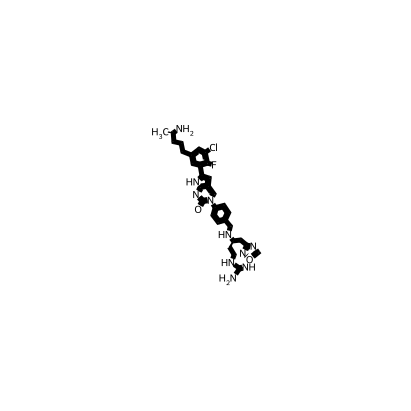 C[C@H](N)CCCc1cc(Cl)c(F)c(-c2cc3cn(-c4ccc(CN[C@H](CCNC(=N)N)Cc5ncon5)cc4)c(=O)nc3[nH]2)c1